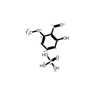 O=Ic1c(O)cccc1OC(F)(F)F.O=P(O)(O)O